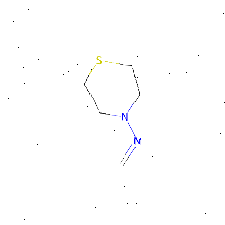 C=NN1CCSCC1